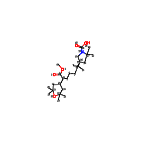 COC(=O)C(CCCC(C)(C)[C@H]1CN(C(=O)O)C(C)(C)C1)C1CC(C)(C)OC(C)(C)C1